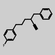 C#CC(CCCc1ccc(F)cc1)Cc1ccccc1